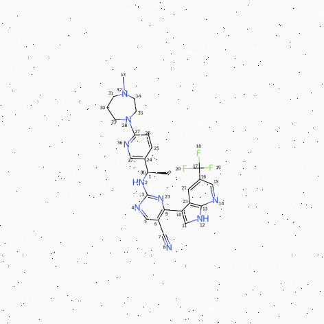 C[C@@H](Nc1ncc(C#N)c(-c2c[nH]c3ncc(C(F)(F)F)cc23)n1)c1ccc(N2CCCN(C)CC2)nc1